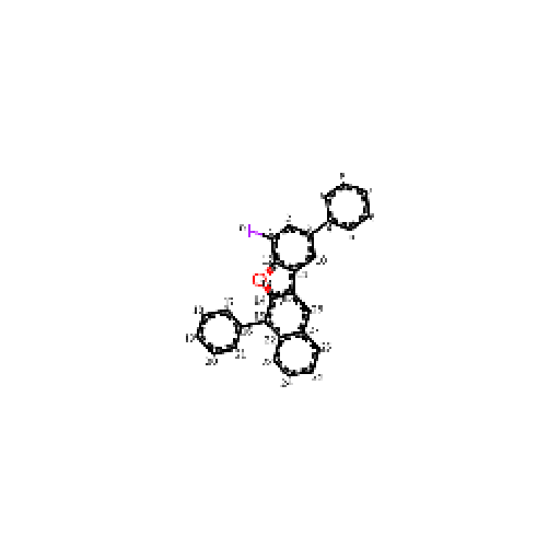 Ic1cc(-c2ccccc2)cc2c1oc1c(-c3ccccc3)c3ccccc3cc12